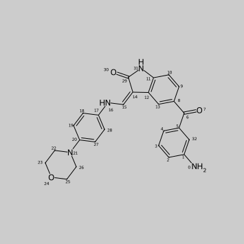 Nc1cccc(C(=O)c2ccc3c(c2)C(=CNc2ccc(N4CCOCC4)cc2)C(=O)N3)c1